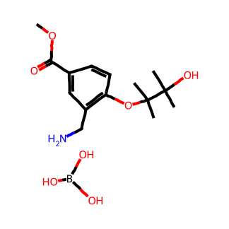 COC(=O)c1ccc(OC(C)(C)C(C)(C)O)c(CN)c1.OB(O)O